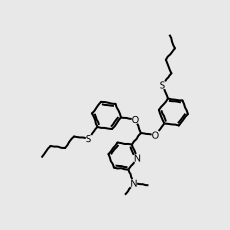 CCCCSc1cccc(OC(Oc2cccc(SCCCC)c2)c2cccc(N(C)C)n2)c1